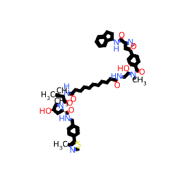 Cc1ncsc1-c1ccc(CNC(=O)[C@@H]2C[C@@H](O)CN2C(=O)[C@@H](NC(=O)CCCCCCCCCC(=O)NCCN(C)C(=O)c2ccc(-c3cc(C(=O)N[C@@H]4CCc5ccccc54)no3)cc2O)C(C)(C)C)cc1